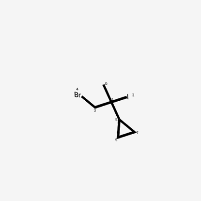 CC(I)(CBr)C1CC1